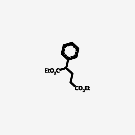 CCOC(=O)CCC(C(=O)OCC)c1ccccc1